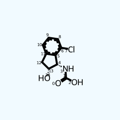 O=C(O)N[C@H]1c2c(Cl)cccc2C[C@H]1O